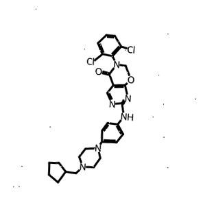 O=C1c2cnc(Nc3ccc(N4CCN(CC5CCCC5)CC4)cc3)nc2OCN1c1c(Cl)cccc1Cl